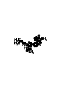 CN(C)CCCNc1ncc(-c2ccc3ncc4c(c3c2)C2(CCC2)C(=O)N4C)cc1NS(C)(=O)=O